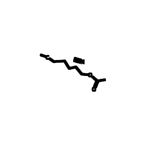 C#N.CCCCCCCOC(C)=O